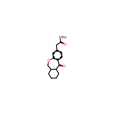 COC(=O)Cc1ccc2c(c1)OCC1CCCCC1C2=O